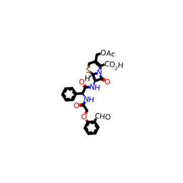 CC(=O)OCC1=C(C(=O)O)N2C(=O)[C@@H](NC(=O)[C@@H](NC(=O)COc3ccccc3C=O)c3ccccc3)[C@H]2SC1